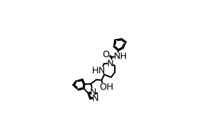 O=C(Nc1ccccc1)N1CCCC(C(O)CC2c3ccccc3-c3cncn32)NC1